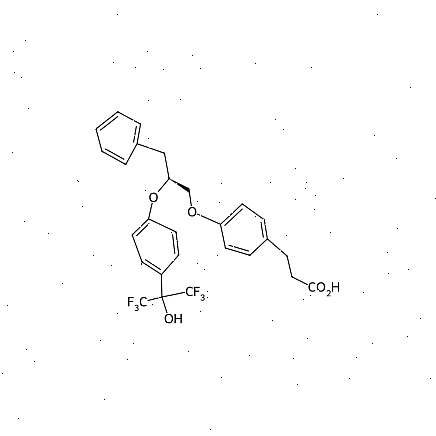 O=C(O)CCc1ccc(OC[C@H](Cc2ccccc2)Oc2ccc(C(O)(C(F)(F)F)C(F)(F)F)cc2)cc1